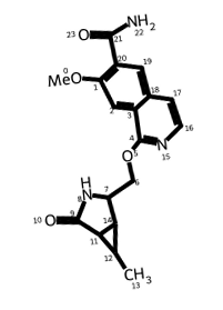 COc1cc2c(OCC3NC(=O)C4C(C)C34)nccc2cc1C(N)=O